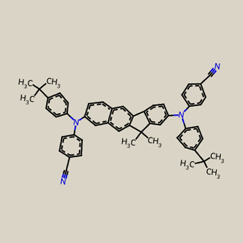 CC(C)(C)c1ccc(N(c2ccc(C#N)cc2)c2ccc3c(c2)C(C)(C)c2cc4cc(N(c5ccc(C#N)cc5)c5ccc(C(C)(C)C)cc5)ccc4cc2-3)cc1